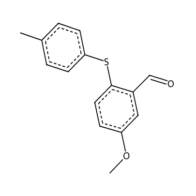 COc1ccc(Sc2ccc(C)cc2)c(C=O)c1